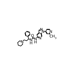 Cc1cc(-n2ncc3cc(NC(=O)NC(CCN4CCCCC4)c4ccccc4)ncc32)ccn1